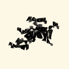 CCOC(=O)C(C)(C)NP(=O)(OC[C@@H]1O[C@H](n2cc(F)c(N)nc2=O)CS1)N(CCC(C)C)CCC(C)C